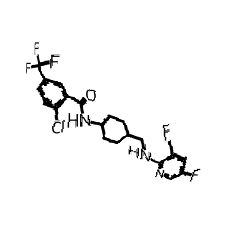 O=C(NC1CCC(CNc2ncc(F)cc2F)CC1)c1cc(C(F)(F)F)ccc1Cl